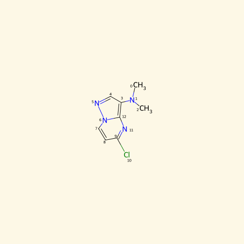 CN(C)c1cnn2ccc(Cl)nc12